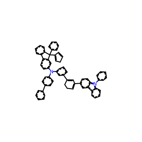 C1=CC(C2(c3ccccc3)c3ccccc3-c3ccc(N(c4ccc(-c5ccccc5)cc4)c4cccc(C5=CC(c6ccc7c(c6)c6ccccc6n7-c6ccccc6)=CCC5)c4)cc32)=CC1